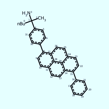 CCCCC(C)(N)c1ccc(-c2ccc3ccc4c(-c5ccccc5)ccc5ccc2c3c54)cc1